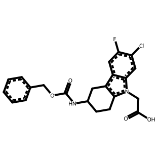 O=C(O)Cn1c2c(c3cc(F)c(Cl)cc31)CC(NC(=O)OCc1ccccc1)CC2